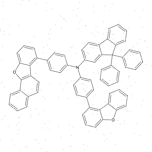 c1ccc(C2(c3ccccc3)c3ccccc3-c3ccc(N(c4ccc(-c5cccc6oc7ccccc7c56)cc4)c4ccc(-c5cccc6oc7c8ccccc8ccc7c56)cc4)cc32)cc1